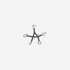 FC1C(F)(Cl)C1(Cl)Cl